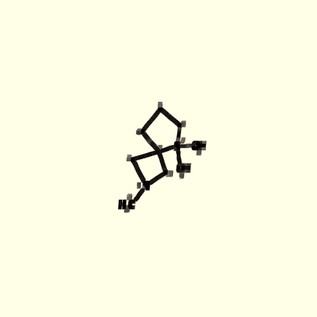 CN1CC2(C[CH]CS2(O)O)C1